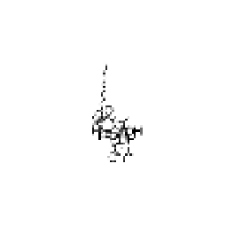 CCCCCCCCCC(=O)O[C@@]12CC(C)C34C=C(C)[C@H](O)[C@@]3(O)[C@H](O)C(COC(=O)C(C)C(C)C)=C[C@H](C4=O)[C@@H]1C2(C)C